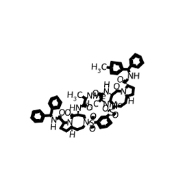 CN[C@@H](C)C(=O)N[C@H]1CN(S(=O)(=O)c2cccc(S(=O)(=O)N3CC[C@H]4CC[C@@H](C(=O)NC(c5ccccc5)c5ccc(C)cc5)N4C(=O)[C@@H](NC(=O)[C@H](C)NC)C3)c2)CC[C@H]2CCC(C(=O)NC(c3ccccc3)c3ccccc3)N2C1=O